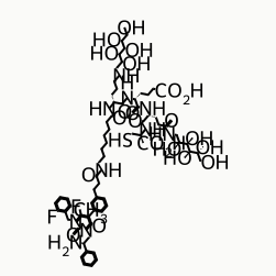 Cc1c(-c2cccc(CCC(=O)NCCCCCCCC(=O)N[C@H](CCCNC[C@H](O)[C@@H](O)[C@H](O)[C@H](O)CO)C(=O)N[C@H](CCCC(=O)O)C(=O)N[C@H](CCC(=O)NC[C@H](O)[C@@H](O)[C@H](O)[C@H](O)CO)C(=O)N[C@H](CS)C(=O)O)c2)c(=O)n(C[C@@H](N)c2ccccc2)c(=O)n1Cc1c(F)cccc1F